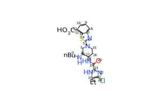 CCCCN[C@H]1CN(c2nc3cccc(C(=O)O)c3s2)CC[C@@H]1NC(=O)c1nc(Cl)c(CC)[nH]1